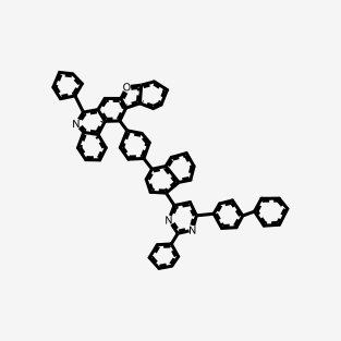 c1ccc(-c2ccc(-c3cc(-c4ccc(-c5ccc(-c6c7c(cc8c(-c9ccccc9)nc9ccccc9c68)oc6ccccc67)cc5)c5ccccc45)nc(-c4ccccc4)n3)cc2)cc1